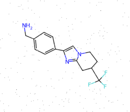 NCc1ccc(-c2cn3c(n2)CC(C(F)(F)F)CC3)cc1